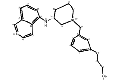 OCCOc1cccc(CN2CCC[C@@H](Nc3cccc4cnccc34)C2)c1